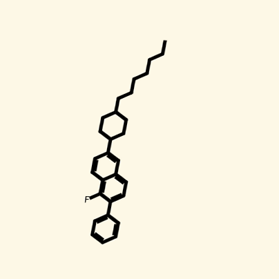 CCCCCCCC1CCC(c2ccc3c(F)c(-c4ccccc4)ccc3c2)CC1